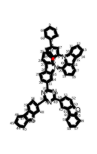 c1ccc(-c2cccc(-n3c4ccccc4c4cccc(-n5c6ccccc6c6ccc(-c7nc(-c8ccc9c(c8)sc8ccccc89)nc(-c8ccc9oc%10ccccc%10c9c8)n7)cc65)c43)c2)cc1